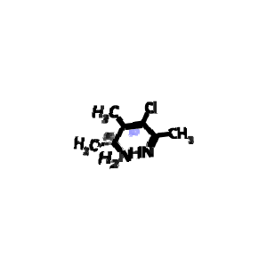 CC(=N)/C(Cl)=C(/C)[C@@H](C)N